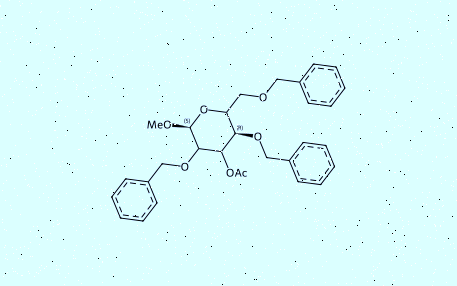 CO[C@H]1OC(COCc2ccccc2)[C@@H](OCc2ccccc2)C(OC(C)=O)C1OCc1ccccc1